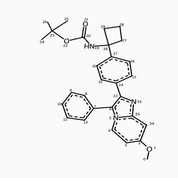 COc1ccn2c(-c3ccccc3)c(-c3ccc(C4(NC(=O)OC(C)(C)C)CCC4)cc3)nc2c1